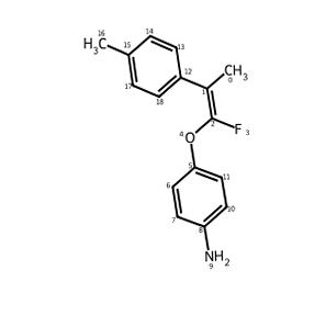 CC(=C(F)Oc1ccc(N)cc1)c1ccc(C)cc1